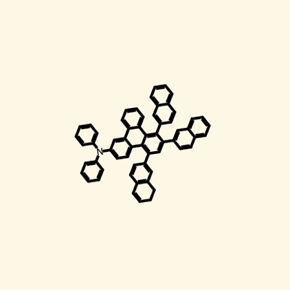 C1=Cc2ccc(-c3cc(-c4ccc5ccccc5c4)c(-c4ccc5ccccc5c4)c4c5ccccc5c5cc(N(c6ccccc6)c6ccccc6)ccc5c34)cc2CC1